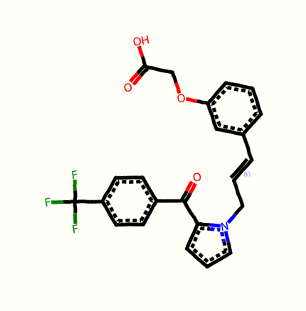 O=C(O)COc1cccc(/C=C/Cn2cccc2C(=O)c2ccc(C(F)(F)F)cc2)c1